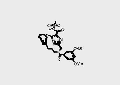 COc1cc(OC)cc(C(=O)N(CCCc2ccccc2)Cc2nc(C(=O)NS(C)(=O)=O)c(Cl)s2)c1